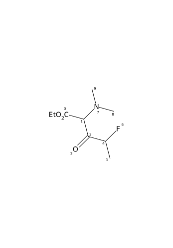 CCOC(=O)C(C(=O)C(C)F)N(C)C